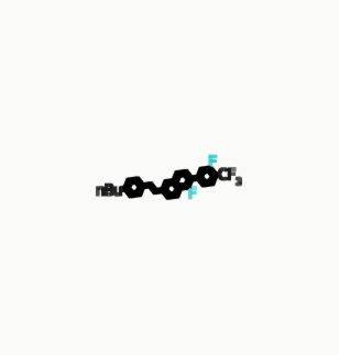 CCCCc1ccc(CCc2ccc3c(F)c(-c4ccc(C(F)(F)F)c(F)c4)ccc3c2)cc1